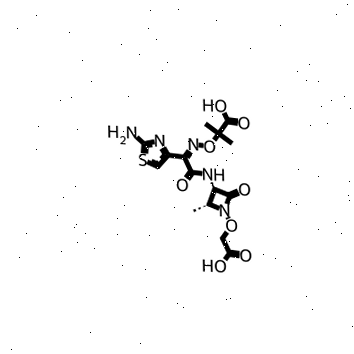 C[C@@H]1[C@H](NC(=O)/C(=N\OC(C)(C)C(=O)O)c2csc(N)n2)C(=O)N1OCC(=O)O